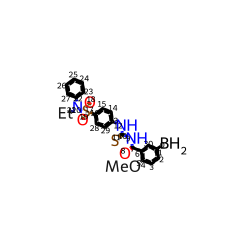 Bc1ccc(OC)c(C(=O)NC(=S)Nc2ccc(S(=O)(=O)N(CC)c3ccccc3)cc2)c1